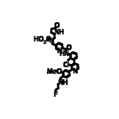 COc1cc(-c2nccc(-c3cccc(NC(=O)c4ccc(CN(CC5CCC(=O)N5)C(=O)O)cn4)c3C)c2Cl)ccc1CNCCCF